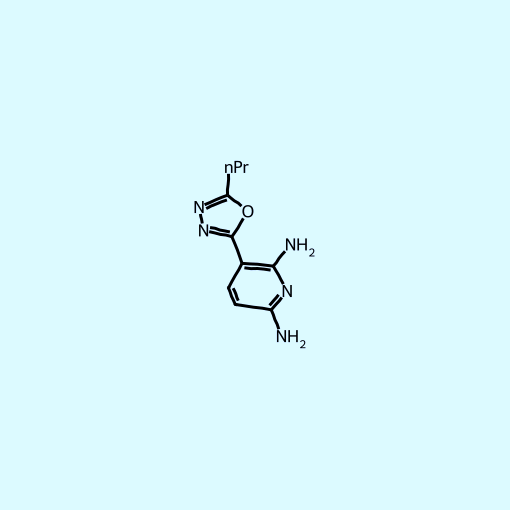 CCCc1nnc(-c2ccc(N)nc2N)o1